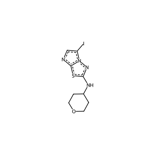 Ic1cnc2sc(NC3CCOCC3)nn12